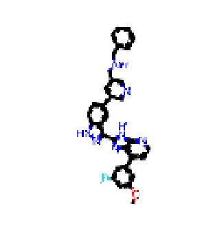 COc1cc(F)cc(-c2ccnc3[nH]c(-c4n[nH]c5ccc(-c6cncc(CNCc7ccccc7)c6)cc45)nc23)c1